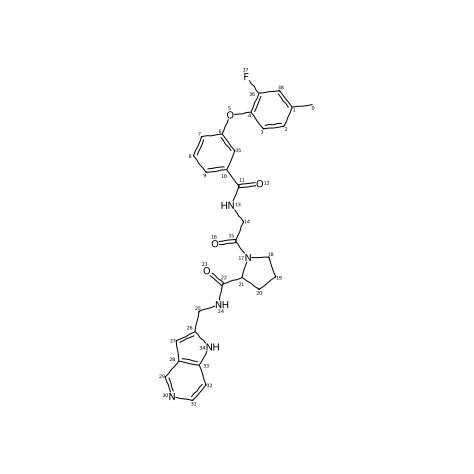 Cc1ccc(Oc2cccc(C(=O)NCC(=O)N3CCCC3C(=O)NCc3cc4cnccc4[nH]3)c2)c(F)c1